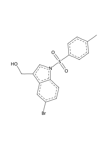 Cc1ccc(S(=O)(=O)n2cc(CO)c3cc(Br)ccc32)cc1